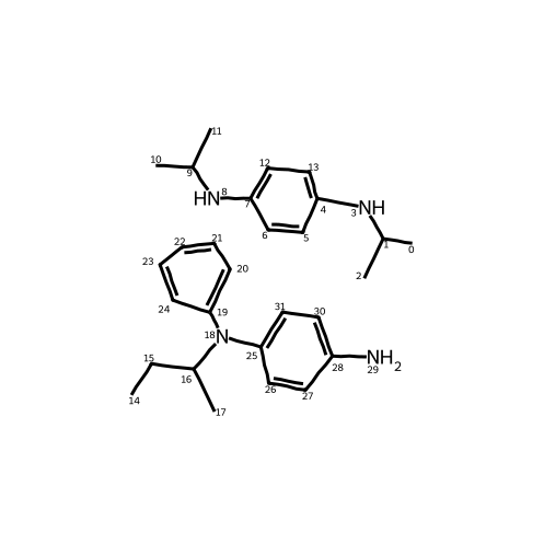 CC(C)Nc1ccc(NC(C)C)cc1.CCC(C)N(c1ccccc1)c1ccc(N)cc1